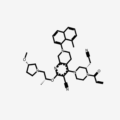 C=CC(=O)N1CCN(c2c(C#N)c(O[C@H](C)CN3CC[C@H](OC)C3)nc3c2CCN(C2=CC=CC4C=CC=C(C)C24)C3)C[C@@H]1CC#N